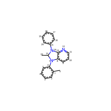 Cc1ccccc1N1c2cccnc2N(c2ccccc2)C1C